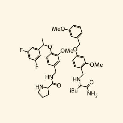 CC[C@H](C)[C@H](NCc1ccc(OCc2cccc(OC)c2)cc1OC)C(N)=O.COc1cc(CNC(=O)C2CCCN2)ccc1OC(C)c1cc(F)cc(F)c1